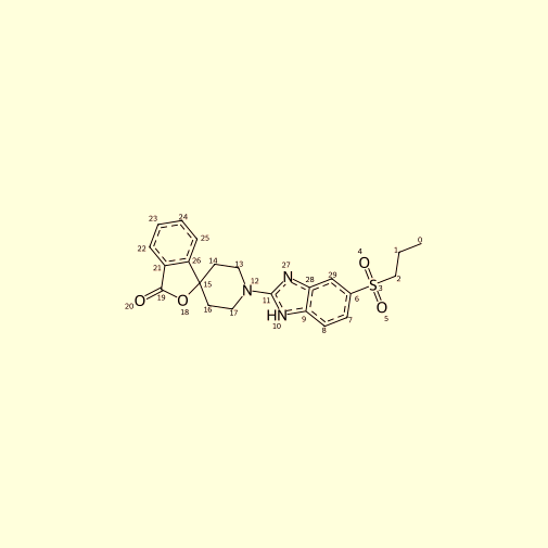 CCCS(=O)(=O)c1ccc2[nH]c(N3CCC4(CC3)OC(=O)c3ccccc34)nc2c1